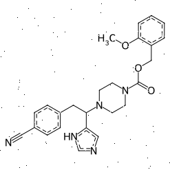 COc1ccccc1COC(=O)N1CCN(C(Cc2ccc(C#N)cc2)c2cnc[nH]2)CC1